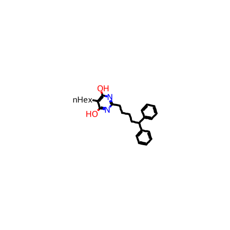 CCCCCCc1c(O)nc(CCCCC(c2ccccc2)c2ccccc2)nc1O